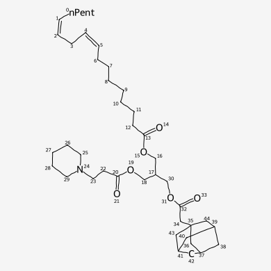 CCCCC/C=C\C/C=C\CCCCCCCC(=O)OCC(COC(=O)CCN1CCCCC1)COC(=O)CC12CC3CC(CC(C3)C1)C2